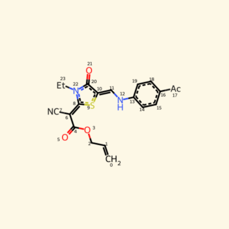 C=CCOC(=O)C(C#N)=c1sc(=CNc2ccc(C(C)=O)cc2)c(=O)n1CC